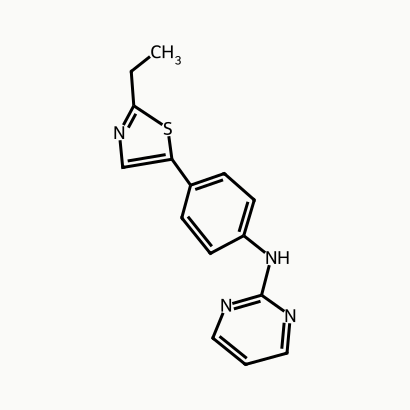 CCc1ncc(-c2ccc(Nc3ncccn3)cc2)s1